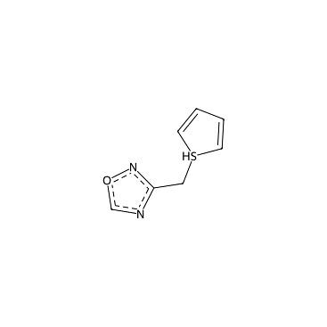 C1=C[SH](Cc2ncon2)C=C1